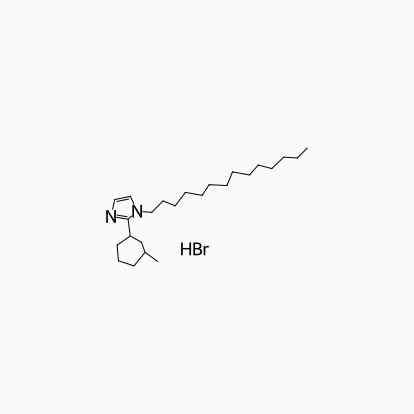 Br.CCCCCCCCCCCCCCn1ccnc1C1CCCC(C)C1